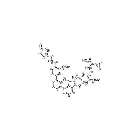 COc1nc(-c2cccc(-c3cccc4c3CC[C@@H]4Oc3nc(OC)c(CNC(C(=O)O)C4CC4)cc3C(F)(F)F)c2Cl)ccc1CNC[C@@H]1CCC(=O)N1